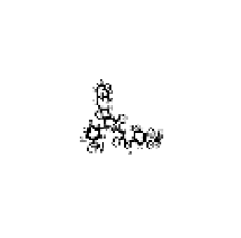 CN(C(=O)Cn1nc(-c2cccc(C#N)c2)c2oc(CN3CCOCC3)cc2c1=O)c1ccc2c(c1)OC(F)(F)O2